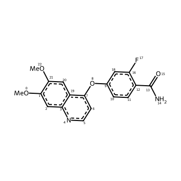 COc1cc2nccc(Oc3ccc(C(N)=O)c(F)c3)c2cc1OC